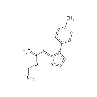 C=C(/N=c1\sccn1-c1ccc(C)cc1)OCC